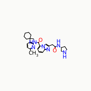 Cc1ccc(C2(CNC(=O)c3cccc4nc(CC(=O)N[C@@H]5CCNC5)cn34)CCCCC2)cn1